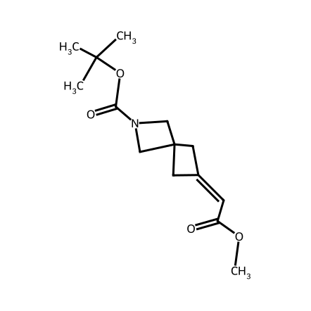 COC(=O)C=C1CC2(C1)CN(C(=O)OC(C)(C)C)C2